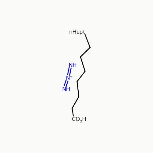 CCCCCCCCCCCCCC(=O)O.N=[N+]=N